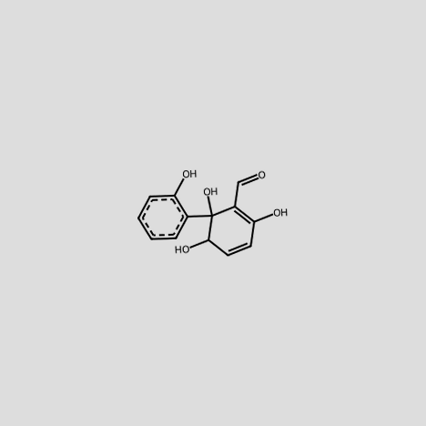 O=CC1=C(O)C=CC(O)C1(O)c1ccccc1O